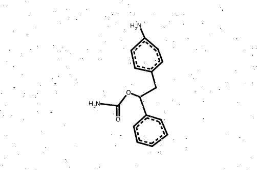 NC(=O)OC(Cc1ccc(N)cc1)c1ccccc1